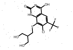 O=c1nc(O)c2cc(C(F)(F)F)c(Cl)c(SCC(CO)CO)c2[nH]1